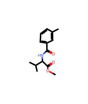 COC(=O)C(NC(=O)c1cccc(C)c1)C(C)C